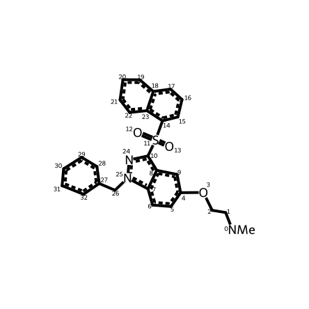 CNCCOc1ccc2c(c1)c(S(=O)(=O)c1cccc3ccccc13)nn2Cc1ccccc1